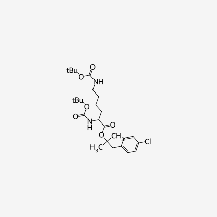 CC(C)(C)OC(=O)NCCCCC(NC(=O)OC(C)(C)C)C(=O)OC(C)(C)Cc1ccc(Cl)cc1